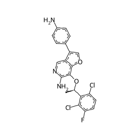 C[C@@H](Oc1c(N)ncc2c(-c3ccc(N)cc3)coc12)c1c(Cl)ccc(F)c1Cl